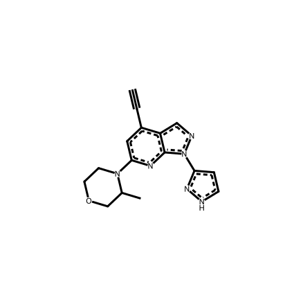 C#Cc1cc(N2CCOCC2C)nc2c1cnn2-c1cc[nH]n1